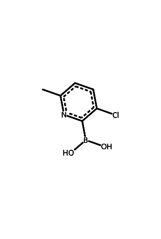 Cc1ccc(Cl)c(B(O)O)n1